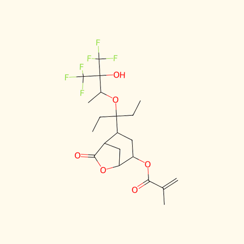 C=C(C)C(=O)OC1CC(C(CC)(CC)OC(C)C(O)(C(F)(F)F)C(F)(F)F)C2CC1OC2=O